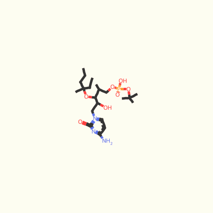 CCCC(C)(CC)OC(C(C)COP(=O)(O)OC(C)(C)C)C(O)Cn1ccc(N)nc1=O